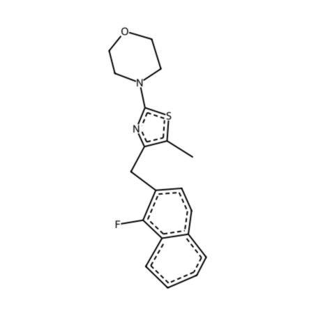 Cc1sc(N2CCOCC2)nc1Cc1ccc2ccccc2c1F